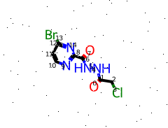 O=C(CCl)NNC(=O)c1nccc(Br)n1